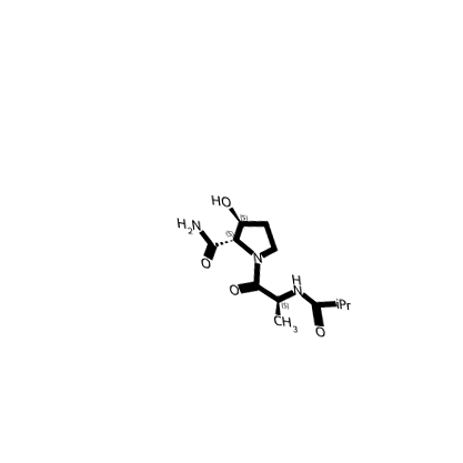 CC(C)C(=O)N[C@@H](C)C(=O)N1CC[C@H](O)[C@H]1C(N)=O